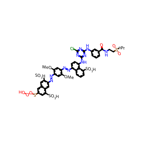 CCCS(=O)(=O)CCNC(=O)c1cccc(Nc2nc(Cl)nc(Nc3ccc(N=Nc4cc(OC)c(N=Nc5cc6c(S(=O)(=O)O)cc(SOOO)cc6cc5S(=O)(=O)O)cc4OC)c4cccc(S(=O)(=O)O)c34)n2)c1